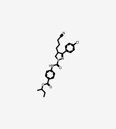 CCC(C)OC(=O)c1ccc(NC(=O)N2CC(CCCC#N)C(c3ccc(Cl)cc3)=N2)cc1